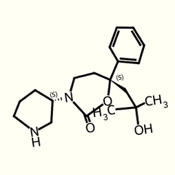 CC(C)(O)C[C@]1(c2ccccc2)CCN([C@H]2CCCNC2)C(=O)O1